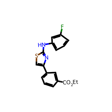 CCOC(=O)c1cccc(-c2csc(Nc3cccc(F)c3)n2)c1